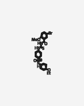 CCOc1ccc(NS(=O)(=O)c2ccc(NC(=S)NC(=O)c3cc(Br)ccc3OC)cc2)cc1